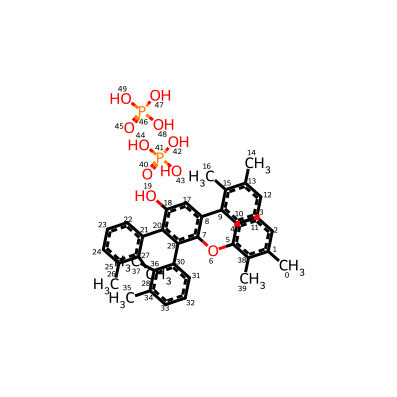 Cc1cccc(Oc2c(-c3cccc(C)c3C)cc(O)c(-c3cccc(C)c3C)c2-c2cccc(C)c2C)c1C.O=P(O)(O)O.O=P(O)(O)O